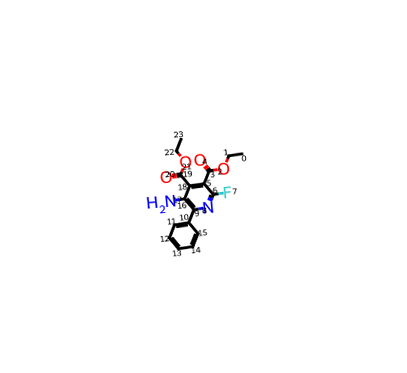 CCOC(=O)c1c(F)nc(-c2ccccc2)c(N)c1C(=O)OCC